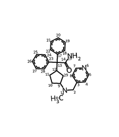 CN(Cc1ccncc1)C1CCC(C(C(N)=O)(c2ccccc2)c2ccccc2)C1